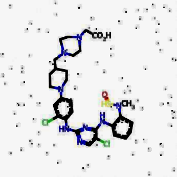 CN([SH]=O)c1ccccc1Nc1nc(Nc2ccc(N3CCC(CN4CCN(CC(=O)O)CC4)CC3)cc2Cl)ncc1Cl